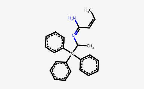 C/C=C\C(N)=N/C(C)[Si](c1ccccc1)(c1ccccc1)c1ccccc1